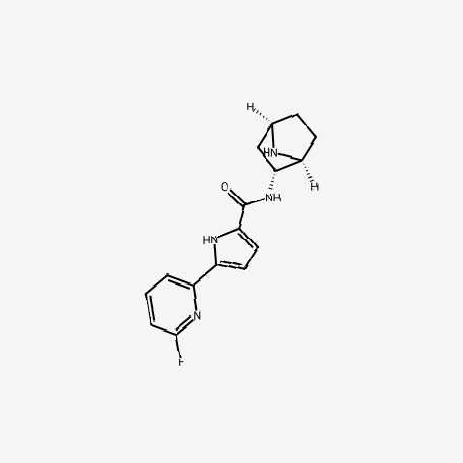 O=C(N[C@@H]1C[C@H]2CC[C@@H]1N2)c1ccc(-c2cccc(F)n2)[nH]1